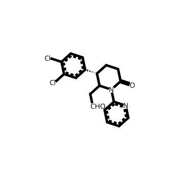 O=CCC1[C@H](c2ccc(Cl)c(Cl)c2)CCC(=O)N1c1ccccn1